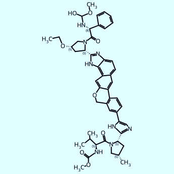 CCO[C@H]1C[C@@H](c2nc3ccc4cc5c(cc4c3[nH]2)OCc2cc(-c3cnc([C@@H]4C[C@H](C)CN4C(=O)[C@@H](NC(=O)OC)C(C)C)[nH]3)ccc2-5)N(C(=O)[C@H](NC(O)OC)c2ccccc2)C1